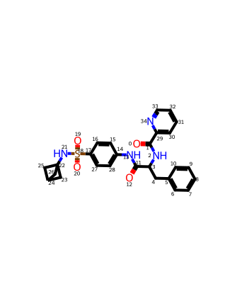 O=C(NC(Cc1ccccc1)C(=O)Nc1ccc(S(=O)(=O)NC23CC(C2)C3)cc1)c1ccccn1